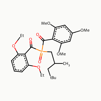 CCOc1cccc(OCC)c1C(=O)P(=O)(CC(C)CC(C)(C)C)C(=O)c1c(OC)cc(OC)cc1OC